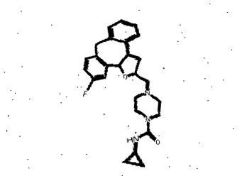 O=C(NC1CC1)N1CCN(CC2CC3c4ccccc4Cc4ccc(F)cc4C3O2)CC1